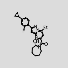 CCc1cc(C(=O)N2CCCCC[C@H]2C)nc2cc(-c3ccc(C4CC4)cc3F)nn12